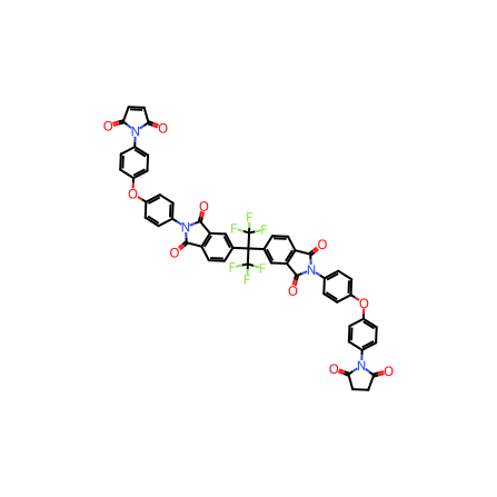 O=C1C=CC(=O)N1c1ccc(Oc2ccc(N3C(=O)c4ccc(C(c5ccc6c(c5)C(=O)N(c5ccc(Oc7ccc(N8C(=O)CCC8=O)cc7)cc5)C6=O)(C(F)(F)F)C(F)(F)F)cc4C3=O)cc2)cc1